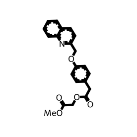 COC(=O)COC(=O)Cc1ccc(OCc2ccc3ccccc3n2)cc1